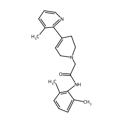 Cc1cccnc1C1=CCN(CC(=O)Nc2c(C)cccc2C)CC1